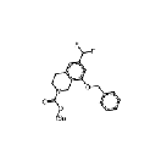 CC(C)(C)OC(=O)N1CCc2cc(C(F)F)cc(OCc3ccccc3)c2C1